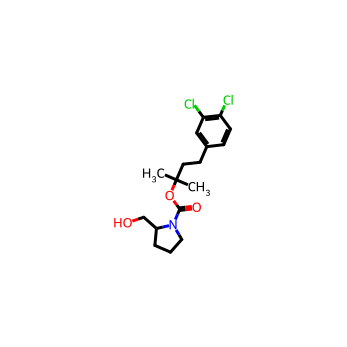 CC(C)(CCc1ccc(Cl)c(Cl)c1)OC(=O)N1CCCC1CO